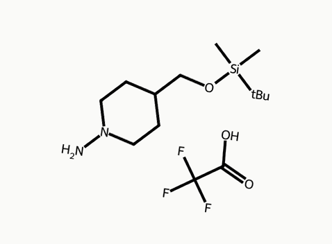 CC(C)(C)[Si](C)(C)OCC1CCN(N)CC1.O=C(O)C(F)(F)F